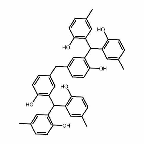 Cc1ccc(O)c(C(c2cc(C)ccc2O)c2cc(Cc3ccc(O)c(C(c4cc(C)ccc4O)c4cc(C)ccc4O)c3)ccc2O)c1